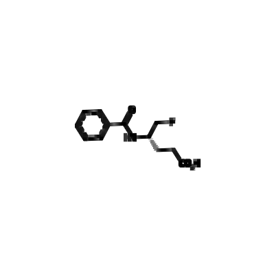 O=C(O)CC[C@@H](CF)NC(=O)c1ccccc1